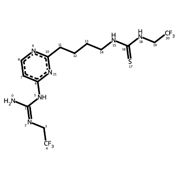 N/C(=N/CC(F)(F)F)Nc1ccnc(CCCCNC(=S)NCC(F)(F)F)n1